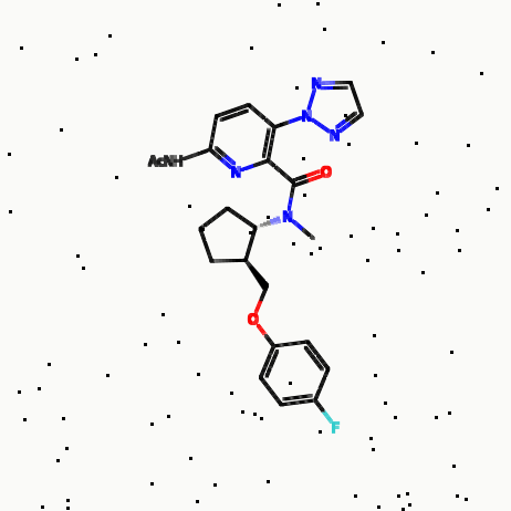 CC(=O)Nc1ccc(-n2nccn2)c(C(=O)N(C)[C@H]2CCC[C@@H]2COc2ccc(F)cc2)n1